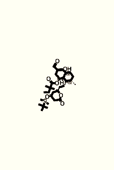 CCC(C)(C)C(=O)O[C@H]1CC(C=O)=C[C@@]2(O)CC[C@H](C)[C@H](CC[C@@H]3C[C@@H](O[Si](C)(C)C(C)(C)C)CC(=O)O3)[C@@H]12